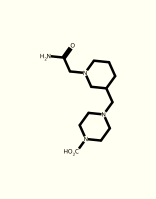 NC(=O)CN1CCCC(CN2CCN(C(=O)O)CC2)C1